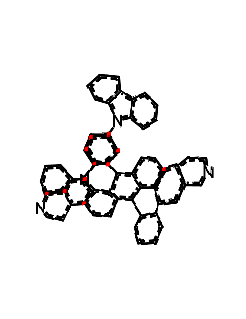 c1ccc(N(c2ccc(-n3c4ccccc4c4ccccc43)cc2)c2cccc3c(-c4ccccc4-c4ccc5ccncc5c4)c4ccccc4c(-c4ccccc4-c4ccc5ccncc5c4)c23)cc1